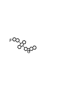 Fc1ccc2ccc(-c3c4ccccc4c(-c4ccc5oc6cc7ccccc7cc6c5c4)c4ccccc34)cc2c1